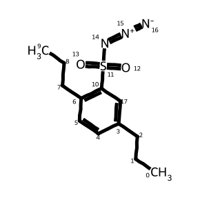 CCCc1ccc(CCC)c(S(=O)(=O)N=[N+]=[N-])c1